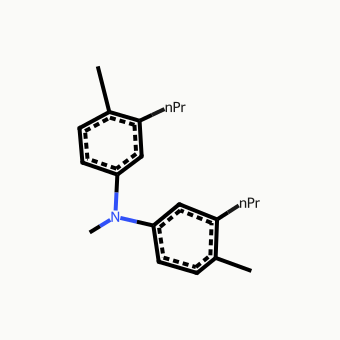 CCCc1cc(N(C)c2ccc(C)c(CCC)c2)ccc1C